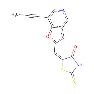 CC#Cc1cncc2cc(/C=C3/SC(=S)NC3=O)oc12